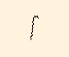 FCCCCCCCCCCCC[SiH3]